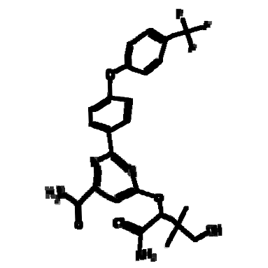 CC(C)(CO)C(Oc1cc(C(N)=O)nc(-c2ccc(Oc3ccc(C(F)(F)F)cc3)cc2)n1)C(N)=O